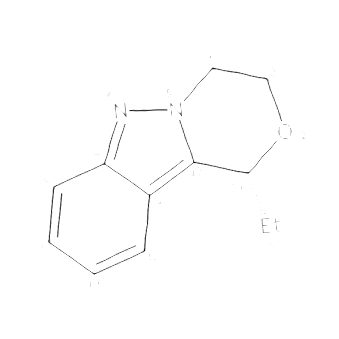 CC[C@H]1OCCn2nc3ccccc3c21